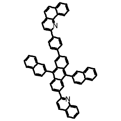 c1ccc2cc(-c3c4ccc(-c5ccc6ccccc6n5)cc4c(-c4ccc5ccccc5c4)c4ccc(-c5ccc(-c6ccc7ccc8ccccc8c7n6)cc5)cc34)ccc2c1